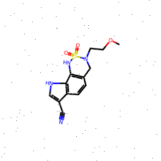 COCCN1Cc2ccc3c(C#N)c[nH]c3c2NS1(=O)=O